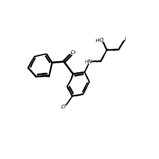 O=C(c1ccccc1)c1cc(Cl)ccc1NCC(O)CI